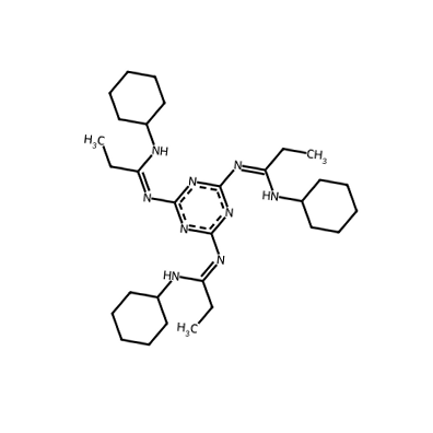 CCC(=Nc1nc(N=C(CC)NC2CCCCC2)nc(N=C(CC)NC2CCCCC2)n1)NC1CCCCC1